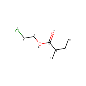 CCC(C)C(=O)OCCCl